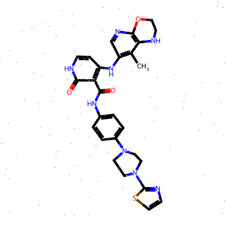 Cc1c(Nc2cc[nH]c(=O)c2C(=O)Nc2ccc(N3CCN(c4nccs4)CC3)cc2)cnc2c1NCCO2